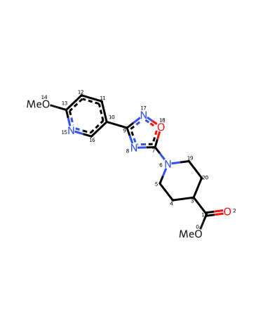 COC(=O)C1CCN(c2nc(-c3ccc(OC)nc3)no2)CC1